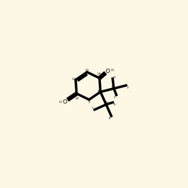 CC(C)(C)C1(C(C)(C)C)CC(=O)C=CC1=O